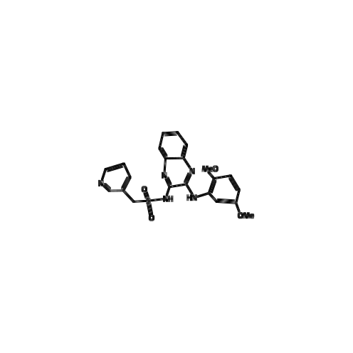 COc1ccc(OC)c(Nc2nc3ccccc3nc2NS(=O)(=O)Cc2cccnc2)c1